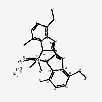 CCc1ccc(C)c2c1C=C(C)[CH]2[Zr]([CH3])([CH3])(=[SiH2])[CH]1C(C)=Cc2c(CC)ccc(C)c21.Cl.Cl